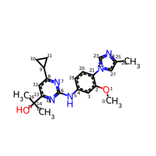 COc1cc(Nc2nc(C3CC3)cc(C(C)(C)O)n2)ccc1-n1cnc(C)c1